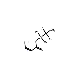 CCC(C)(C)[Si](OC(=O)/C=C\C(=O)O)(C(C)C)C(C)C